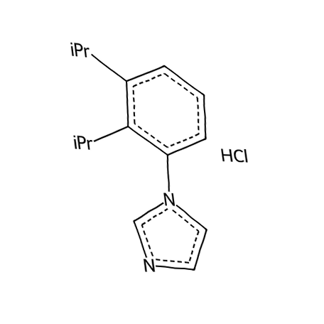 CC(C)c1cccc(-n2ccnc2)c1C(C)C.Cl